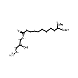 CCCCCCCCC(CCCCCCCCC(=O)OCC(O)COCCCC)SC